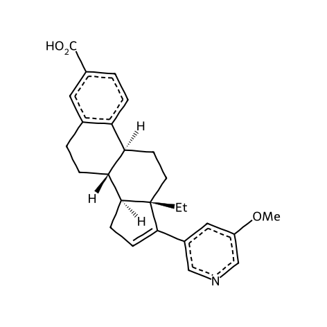 CC[C@]12CC[C@@H]3c4ccc(C(=O)O)cc4CC[C@H]3[C@@H]1CC=C2c1cncc(OC)c1